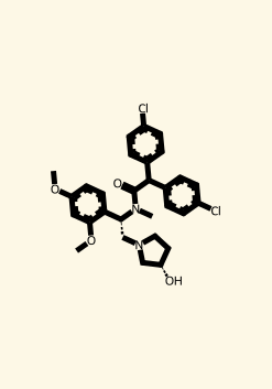 COc1ccc([C@@H](CN2CC[C@H](O)C2)N(C)C(=O)C(c2ccc(Cl)cc2)c2ccc(Cl)cc2)c(OC)c1